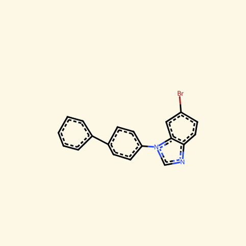 Brc1ccc2ncn(-c3ccc(-c4ccccc4)cc3)c2c1